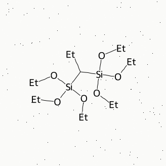 [CH2]CC([Si](OCC)(OCC)OCC)[Si](OCC)(OCC)OCC